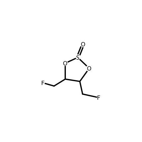 O=S1OC(CF)C(CF)O1